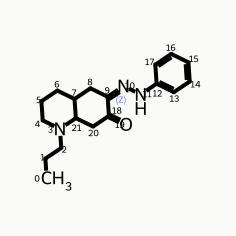 CCCN1CCCC2C/C(=N/Nc3ccccc3)C(=O)CC21